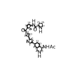 CC(=O)NC1CNCc2cc(-c3cnc(C4CN(C(=O)c5ccc(NC(=O)[C@@H]6CCCN6)s5)C4)s3)ccc21